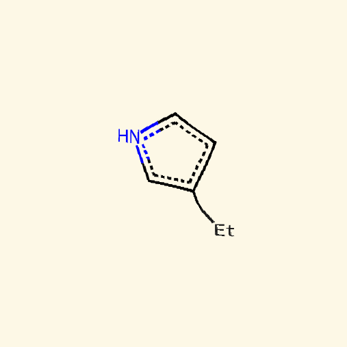 [CH2]Cc1cc[nH]c1